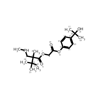 CPCC(C)(C(=O)OCC(=O)Oc1ccc(C(C)(C)O)cc1)C(C)(C)C